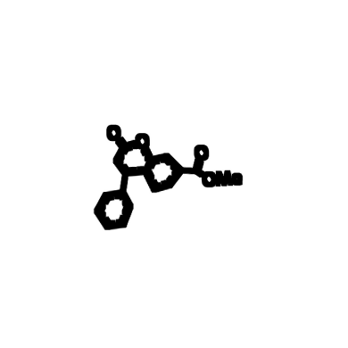 COC(=O)c1ccc2c(-c3ccccc3)cc(=O)oc2c1